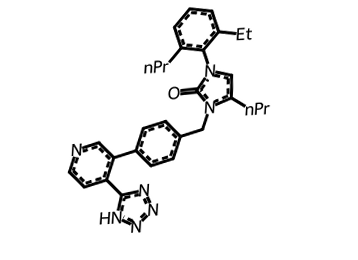 CCCc1cccc(CC)c1-n1cc(CCC)n(Cc2ccc(-c3cnccc3-c3nnn[nH]3)cc2)c1=O